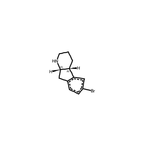 Brc1ccc2c(c1)[C@H]1CCCN[C@H]1C2